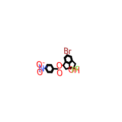 O=C(OC1CC2(O)c3c(cc(Br)cc31)CC2(F)F)c1ccc([N+](=O)[O-])cc1